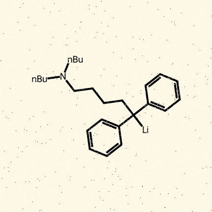 [Li][C](CCCCN(CCCC)CCCC)(c1ccccc1)c1ccccc1